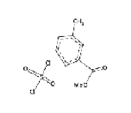 COC(=O)c1cccc(C)c1.O=S(=O)(Cl)Cl